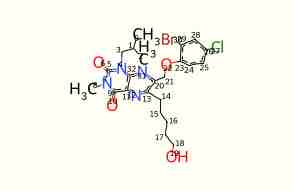 CC(C)Cn1c(=O)n(C)c(=O)c2nc(CCCCCO)c(COc3ccc(Cl)cc3Br)nc21